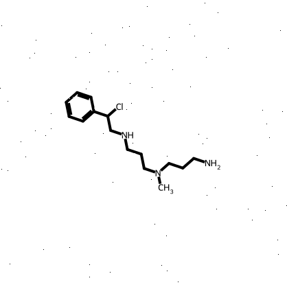 CN(CCCN)CCCNCC(Cl)c1ccccc1